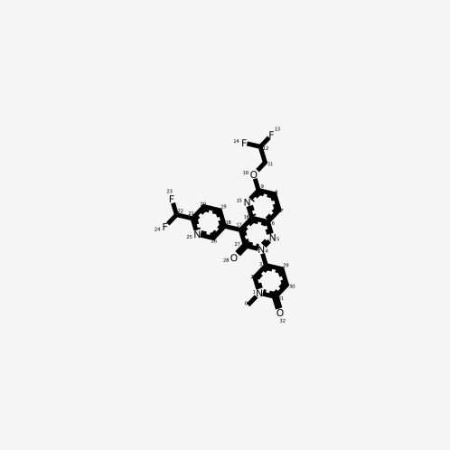 Cn1cc(-n2nc3ccc(OCC(F)F)nc3c(-c3ccc(C(F)F)nc3)c2=O)ccc1=O